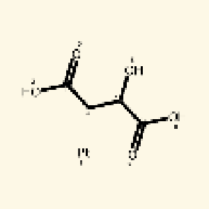 O=C(O)CC(O)C(=O)O.[Pt]